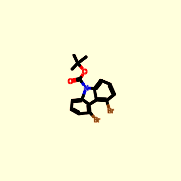 CC(C)(C)OC(=O)n1c2cccc(Br)c2c2c(Br)cccc21